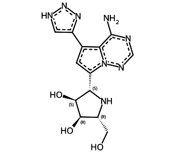 Nc1ncnn2c([C@@H]3N[C@H](CO)[C@@H](O)[C@H]3O)cc(-c3c[nH]nn3)c12